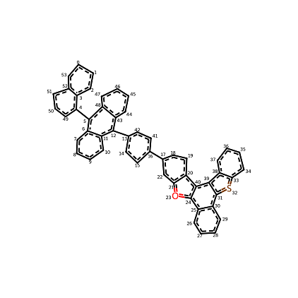 c1ccc2c(-c3c4ccccc4c(-c4ccc(-c5ccc6c(c5)oc5c7ccccc7c7sc8ccccc8c7c65)cc4)c4ccccc34)cccc2c1